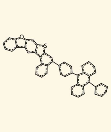 c1ccc(-c2c3ccccc3c(-c3ccc(-c4cc5sc6cc7oc8ccccc8c7cc6c5c5ccccc45)cc3)c3ccccc23)cc1